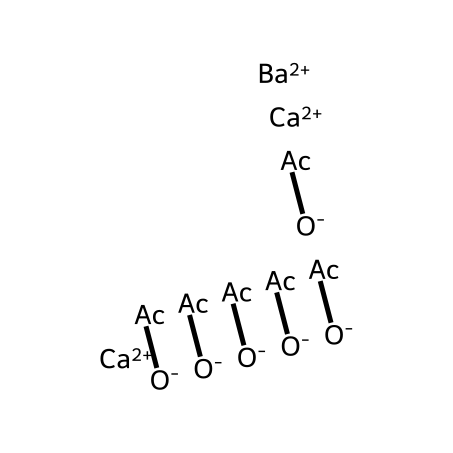 CC(=O)[O-].CC(=O)[O-].CC(=O)[O-].CC(=O)[O-].CC(=O)[O-].CC(=O)[O-].[Ba+2].[Ca+2].[Ca+2]